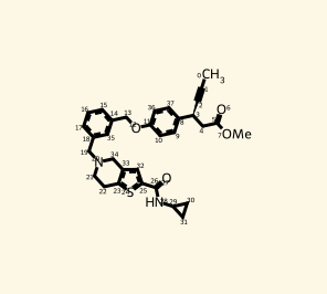 CC#C[C@@H](CC(=O)OC)c1ccc(OCc2cccc(CN3CCc4sc(C(=O)NC5CC5)cc4C3)c2)cc1